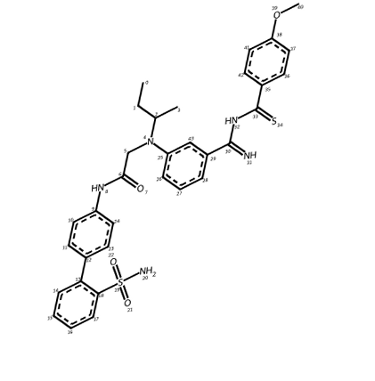 CCC(C)N(CC(=O)Nc1ccc(-c2ccccc2S(N)(=O)=O)cc1)c1cccc(C(=N)NC(=S)c2ccc(OC)cc2)c1